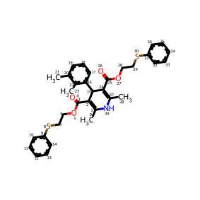 CC1=C(C(=O)OCCSc2ccccc2)C(c2cccc(C)c2C)C(C(=O)OCCSc2ccccc2)=C(C)N1